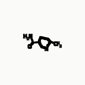 NC(=O)c1ccc(C(F)(F)F)nc1